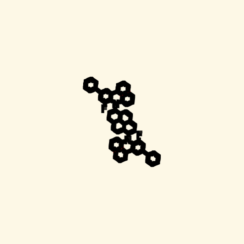 Fc1cc(-c2ccccc2)cc(-c2ccccc2)c1N(C1=CC=C2C=CC3=C4C(=CC=C1C24)CC=C3N(c1ccccc1)c1c(F)cc(-c2ccccc2)cc1-c1ccccc1)c1ccccc1